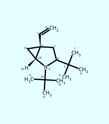 C=C[C@@]12CC(C(C)(C)C)N(C(C)(C)C)[C@@H]1C2